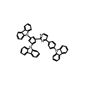 c1ccc2c(c1)c1ccccc1n2-c1ccc(-c2ccnc(-c3cc(-n4c5ccccc5c5ccccc54)cc(-n4c5ccccc5c5ccccc54)c3)n2)cc1